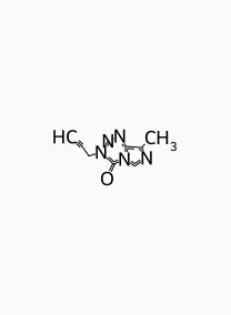 C#CCn1nnc2c(C)ncn2c1=O